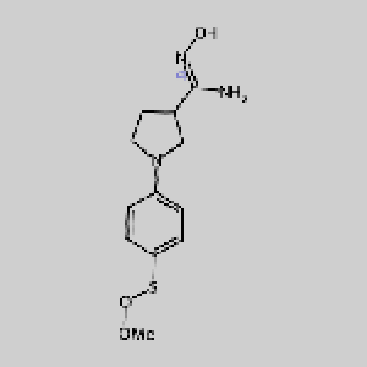 COOSc1ccc(N2CCC(/C(N)=N/O)C2)cc1